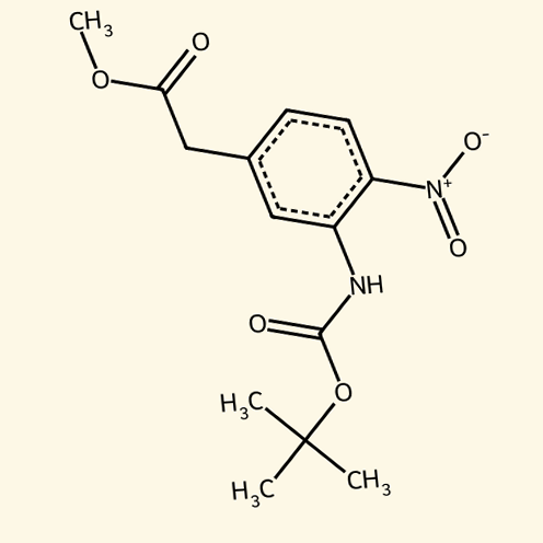 COC(=O)Cc1ccc([N+](=O)[O-])c(NC(=O)OC(C)(C)C)c1